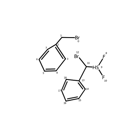 BrCc1ccccc1.F[SH](F)C(Br)c1ccccc1